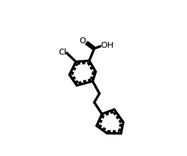 O=C(O)c1cc(CCc2ccccc2)ccc1Cl